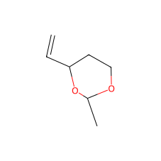 C=CC1CCOC(C)O1